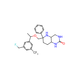 CC(OCC1(c2ccccc2)CCC2NC(=O)NCC2N1)c1cc(CF)cc(C(F)(F)F)c1